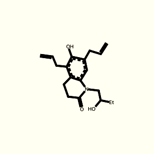 C=CCc1cc2c(c(CC=C)c1O)CCC(=O)N2CC(O)CC